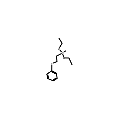 CCO[Si](C)(CCSc1ccccc1)OCC